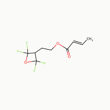 CC=CC(=O)OCCC1C(F)(F)OC1(F)F